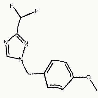 COc1ccc(Cn2cnc(C(F)F)n2)cc1